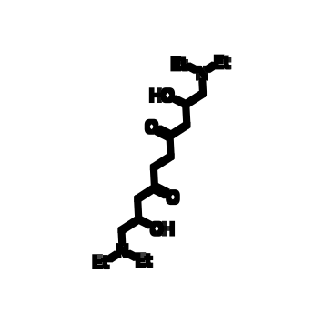 CCN(CC)CC(O)CC(=O)CCC(=O)CC(O)CN(CC)CC